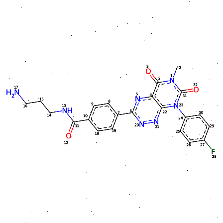 Cn1c(=O)c2nc(-c3ccc(C(=O)NCCCN)cc3)nnc2n(-c2ccc(F)cc2)c1=O